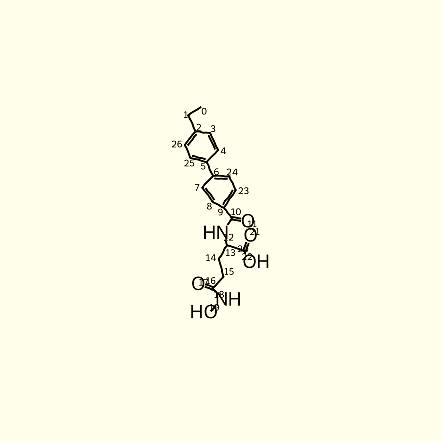 CCc1ccc(-c2ccc(C(=O)NC(CCC(=O)NO)C(=O)O)cc2)cc1